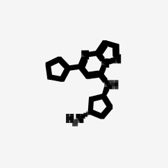 N[C@H]1CC[C@H](Nc2cc(C3CCCC3)nc3ccnn23)C1